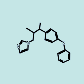 CC(Cn1ccnc1)C(C)c1ccc(Sc2ccccc2)cc1